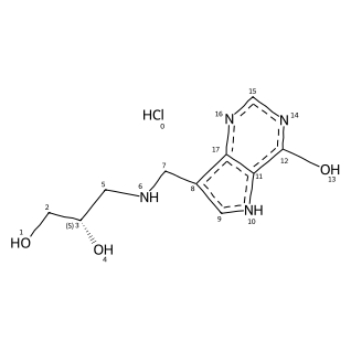 Cl.OC[C@@H](O)CNCc1c[nH]c2c(O)ncnc12